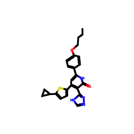 CCCCOc1ccc(-c2cc(-c3ccc(C4CC4)s3)c(-c3nnc[nH]3)c(=O)[nH]2)cc1